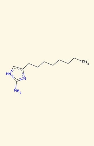 CCCCCCCCc1c[nH]c(N)n1